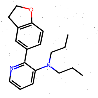 CCCN(CCC)c1cccnc1-c1ccc2c(c1)CCO2